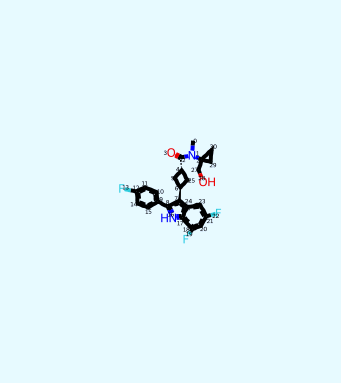 CN(C(=O)[C@H]1C[C@H](c2c(-c3ccc(F)cc3)[nH]c3c(F)cc(F)cc32)C1)C1(CO)CC1